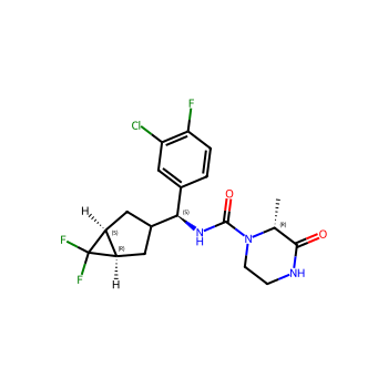 C[C@@H]1C(=O)NCCN1C(=O)N[C@H](c1ccc(F)c(Cl)c1)C1C[C@@H]2[C@H](C1)C2(F)F